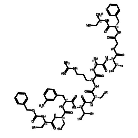 CC[C@H](C)[C@H](NC(=O)[C@@H](CCCNC(=N)N)NC(=O)[C@H](CC(C)C)NC(=O)[C@@H](NC(=O)[C@H](Cc1cccc(N)c1)NC(=O)[C@H](CC(C)(C)C)NC(=O)[C@@H](CC(C)(C)C)NC(=O)OCc1ccccc1)C(O)C(C)C)C(=O)N[C@H](C(=O)NCC(=O)N[C@@H](Cc1cccnc1)C(=O)N[C@@H](CO)C(=O)O)[C@H](C)O